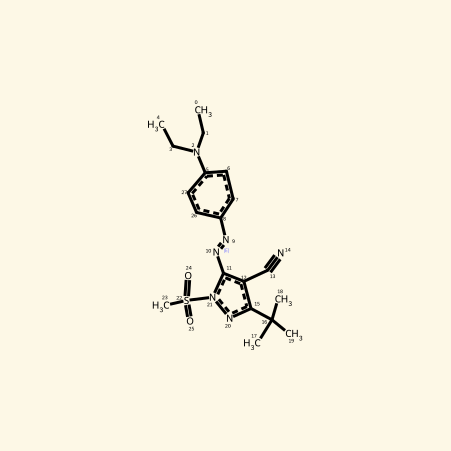 CCN(CC)c1ccc(/N=N/c2c(C#N)c(C(C)(C)C)nn2S(C)(=O)=O)cc1